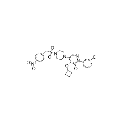 O=c1c(OC2CCC2)c(N2CCN(S(=O)(=O)Cc3ccc([N+](=O)[O-])cc3)CC2)cnn1-c1cccc(Cl)c1